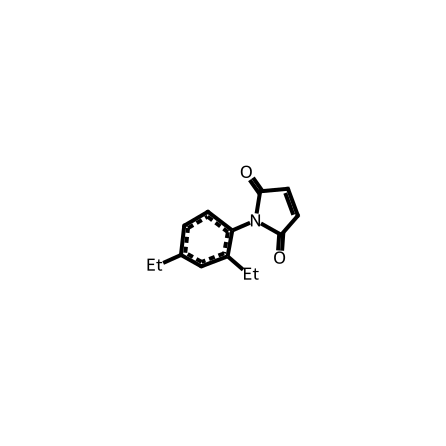 CCc1ccc(N2C(=O)C=CC2=O)c(CC)c1